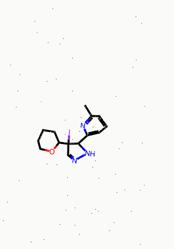 Cc1cccc(C2NN=CC2(I)C2CCCCO2)n1